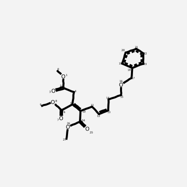 COC(=O)C/C(C(=O)OC)=C(\C/C=C\CCOCc1ccccc1)C(=O)OC